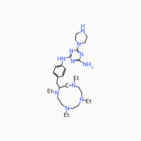 CCN1CCN(CC)CCN(CC)C(Cc2ccc(Nc3nc(N)nc(N4CCNCC4)n3)cc2)CN(CC)CC1